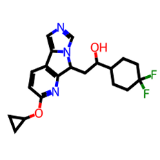 OC(CC1c2nc(OC3CC3)ccc2-c2cncn21)C1CCC(F)(F)CC1